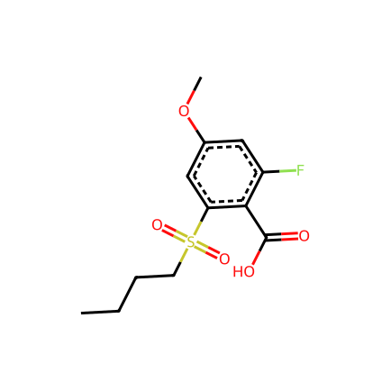 CCCCS(=O)(=O)c1cc(OC)cc(F)c1C(=O)O